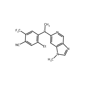 CCc1cc(C#N)c(C(F)(F)F)cc1N(C)c1cc2c(cn1)ncn2C